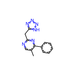 Cc1cnc(Cc2nnn[nH]2)nc1-c1ccccc1